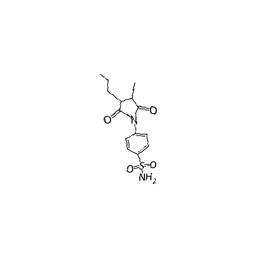 CCCC1C(=O)N(c2ccc(S(N)(=O)=O)cc2)C(=O)C1C